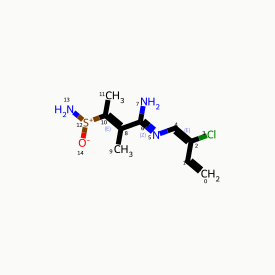 C=C\C(Cl)=C/N=C(N)/C(C)=C(\C)[S+](N)[O-]